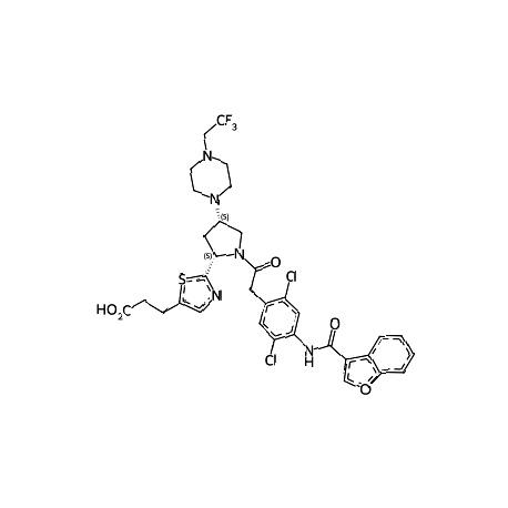 O=C(O)CCc1cnc([C@@H]2C[C@H](N3CCN(CC(F)(F)F)CC3)CN2C(=O)Cc2cc(Cl)c(NC(=O)c3coc4ccccc34)cc2Cl)s1